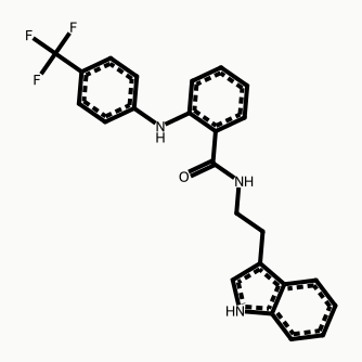 O=C(NCCc1c[nH]c2ccccc12)c1ccccc1Nc1ccc(C(F)(F)F)cc1